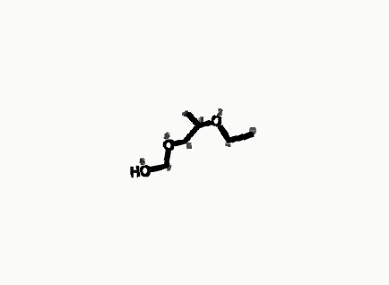 CCOC(C)COCO